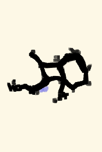 CC1/C(=N\O)C2(C(C)C)CCC=CC12